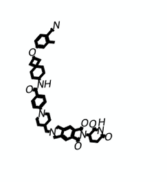 Cc1cc(OC2CC3(CCC(NC(=O)c4ccc(N5CCC(CN6Cc7cc8c(cc7C6)C(=O)N(C6CCC(=O)NC6=O)C8=O)CC5)cc4)CC3)C2)ccc1C#N